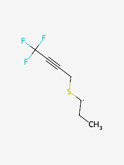 CC[CH]SCC#CC(F)(F)F